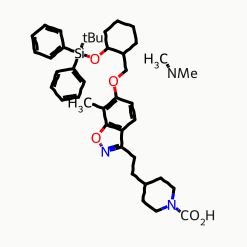 CNC.Cc1c(OCC2CCCCC2O[Si](c2ccccc2)(c2ccccc2)C(C)(C)C)ccc2c(CCC3CCN(C(=O)O)CC3)noc12